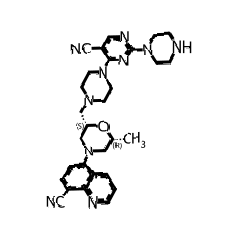 C[C@@H]1CN(c2ccc(C#N)c3ncccc23)C[C@H](CN2CCN(c3nc(N4CCNCC4)ncc3C#N)CC2)O1